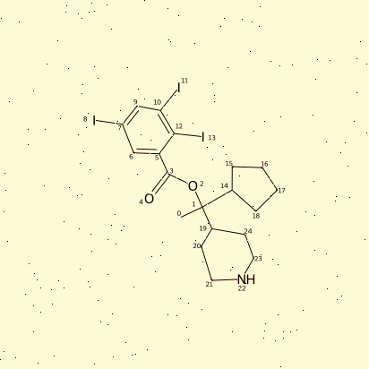 CC(OC(=O)c1cc(I)cc(I)c1I)(C1CCCC1)C1CCNCC1